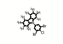 [2H]c1c([2H])c([2H])c2c(c1[2H])c1c([2H])c([2H])c([2H])c([2H])c1n2-c1cc(Br)c(Cl)c(Br)c1